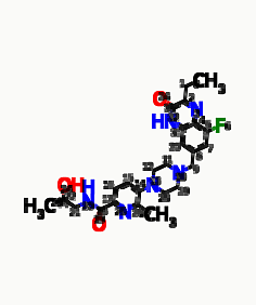 CCc1nc2c(F)cc(CN3CCN(c4ccc(C(=O)NC[C@@H](C)O)nc4C)CC3)cc2[nH]c1=O